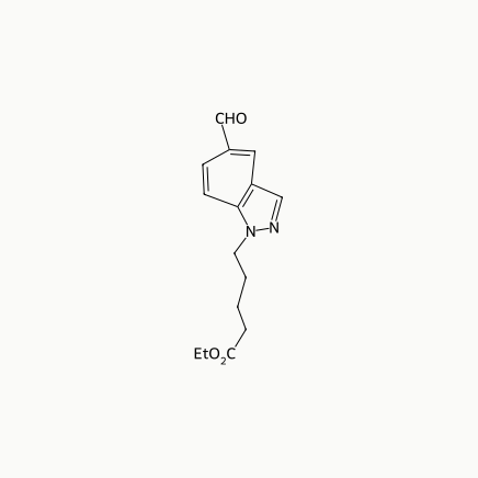 CCOC(=O)CCCCn1ncc2cc(C=O)ccc21